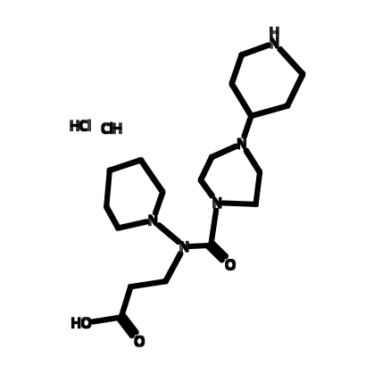 Cl.Cl.O=C(O)CCN(C(=O)N1CCN(C2CCNCC2)CC1)N1CCCCC1